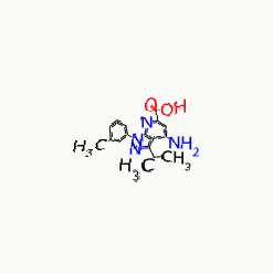 Cc1cccc(-n2nc(C(C)C)c3c(N)cc(C(=O)O)nc32)c1